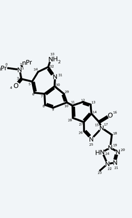 CCCN(CCC)C(=O)C1=Cc2ccc(-c3ccc4c(=O)n(CN5N=NN(C)N5)ncc4c3)cc2N=C(N)C1